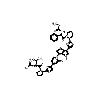 COC(=O)N[C@@H](C(=O)N1CCCC1c1ncc(-c2c[nH]c3c(-n4ccc(-c5cnc(C6CCCN6C(=O)[C@@H](NC(=O)O)C(C)C)[nH]5)cc4=O)csc23)[nH]1)c1ccccc1